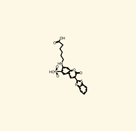 O=C(O)CCCCCNc1cc2oc(=O)c(-c3nc4ccccc4s3)cc2cc1S(=O)(=O)O